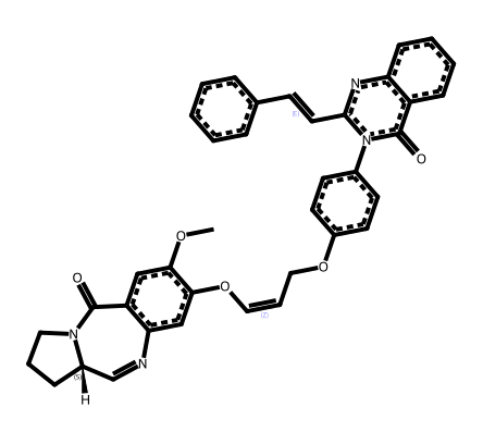 COc1cc2c(cc1O/C=C\COc1ccc(-n3c(/C=C/c4ccccc4)nc4ccccc4c3=O)cc1)N=C[C@@H]1CCCN1C2=O